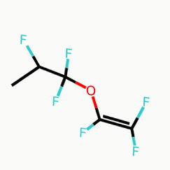 CC(F)C(F)(F)OC(F)=C(F)F